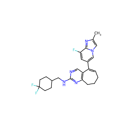 Cc1cn2cc(C3=CCCCc4nc(NCC5CCC(F)(F)CC5)ncc43)cc(F)c2n1